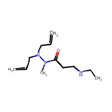 C=CCN(CC=C)N(C)C(=O)CCNCC